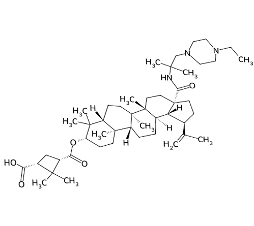 C=C(C)[C@@H]1CC[C@]2(C(=O)NC(C)(C)CN3CCN(CC)CC3)CC[C@]3(C)[C@H](CC[C@@H]4[C@@]5(C)CC[C@H](OC(=O)[C@H]6C[C@@H](C(=O)O)C6(C)C)C(C)(C)[C@@H]5CC[C@]43C)[C@@H]12